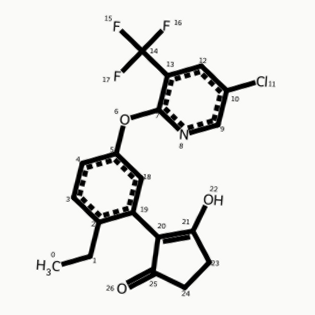 CCc1ccc(Oc2ncc(Cl)cc2C(F)(F)F)cc1C1=C(O)CCC1=O